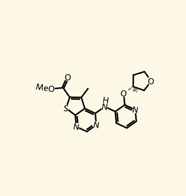 COC(=O)c1sc2ncnc(Nc3cccnc3O[C@@H]3CCOC3)c2c1C